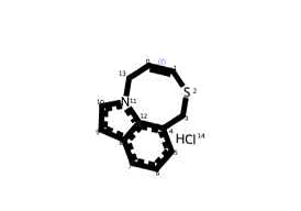 C1=C\SCc2cccc3ccn(c23)C/1.Cl